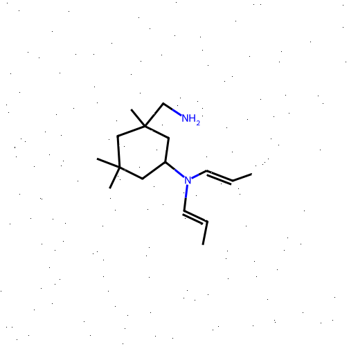 CC=CN(C=CC)C1CC(C)(C)CC(C)(CN)C1